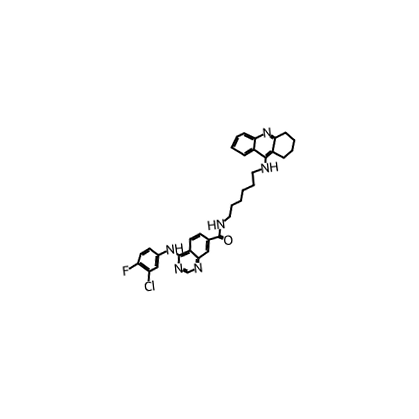 O=C(NCCCCCCNc1c2c(nc3ccccc13)CCCC2)c1ccc2c(Nc3ccc(F)c(Cl)c3)ncnc2c1